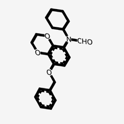 O=CN(c1ccc(OCc2ccccc2)c2c1OCCO2)C1CCCCC1